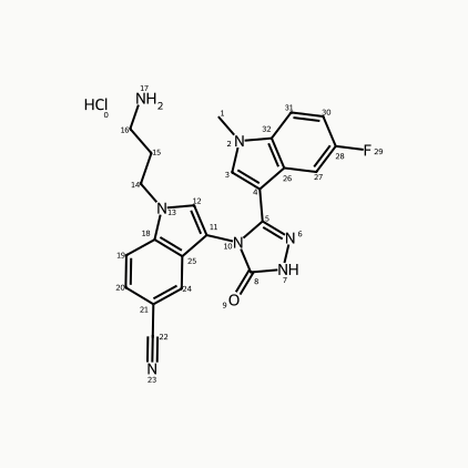 Cl.Cn1cc(-c2n[nH]c(=O)n2-c2cn(CCCN)c3ccc(C#N)cc23)c2cc(F)ccc21